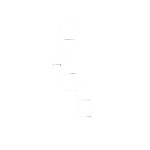 FC(F)(F)c1ccc(N2CCN(C(=S)COC3CCCCC3)CC2)cn1